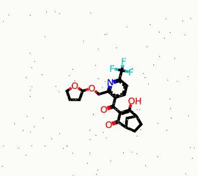 O=C(C1=C(O)C2CCC(C2)C1=O)c1ccc(C(F)(F)F)nc1COC1CCCO1